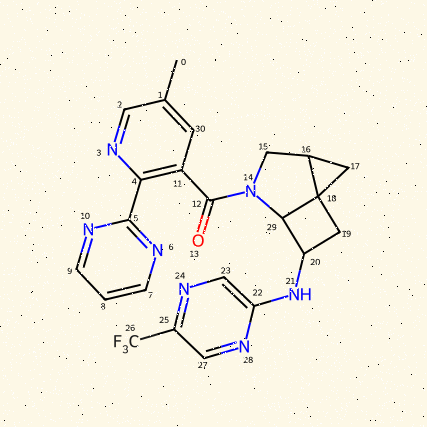 Cc1cnc(-c2ncccn2)c(C(=O)N2CC3CC34CC(Nc3cnc(C(F)(F)F)cn3)C24)c1